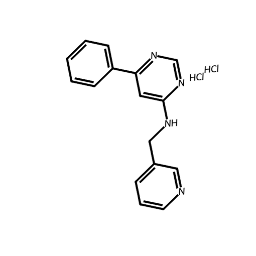 Cl.Cl.c1ccc(-c2cc(NCc3cccnc3)ncn2)cc1